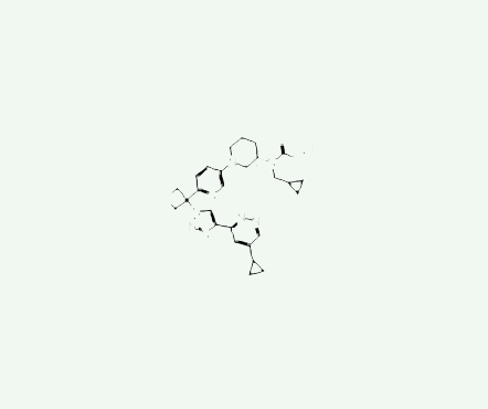 CC(C)(C)OC(=O)N(CC1CC1)[C@@H]1CCCN(c2ccc(C3(n4cc(-c5cc(C6CC6)cnn5)nn4)COC3)nc2)C1